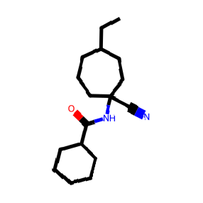 CCC1CCCC(C#N)(NC(=O)C2CCCCC2)CC1